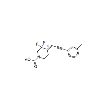 Cc1cccc(C#C/C=C2\CCN(C(=O)O)CC2(F)F)c1